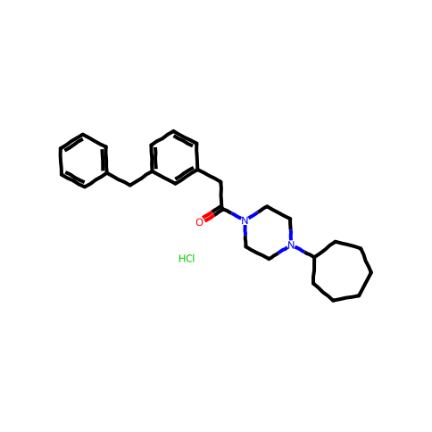 Cl.O=C(Cc1cccc(Cc2ccccc2)c1)N1CCN(C2CCCCCC2)CC1